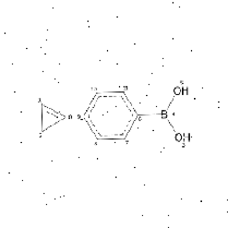 C1=CC1.OB(O)c1ccccc1